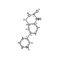 O=C1Nc2ccc(-c3cccnc3)cc2CO1